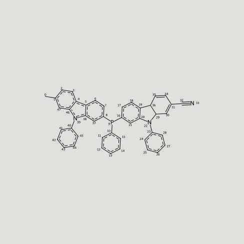 Cc1ccc2c3ccc(P(c4ccccc4)c4ccc5c(c4)N(c4ccccc4)C4C=C(C#N)C=CC54)cc3n(-c3ccccc3)c2c1